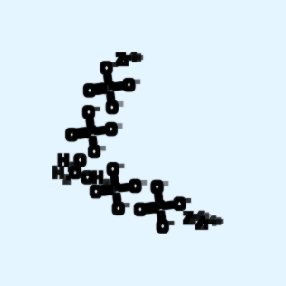 O.O.O.O=P([O-])([O-])[O-].O=P([O-])([O-])[O-].O=P([O-])([O-])[O-].O=P([O-])([O-])[O-].[Zr+4].[Zr+4].[Zr+4]